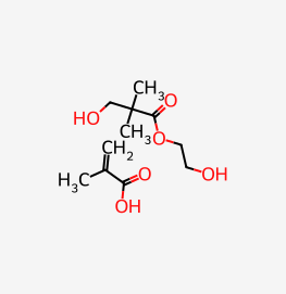 C=C(C)C(=O)O.CC(C)(CO)C(=O)OCCO